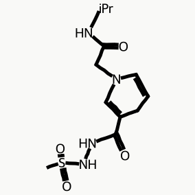 CC(C)NC(=O)CN1C=CCC(C(=O)NNS(C)(=O)=O)=C1